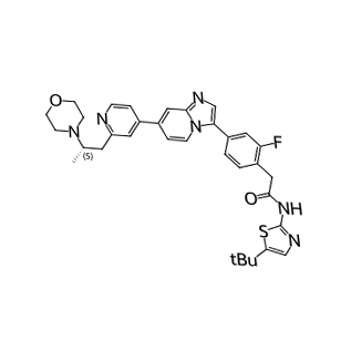 C[C@@H](Cc1cc(-c2ccn3c(-c4ccc(CC(=O)Nc5ncc(C(C)(C)C)s5)c(F)c4)cnc3c2)ccn1)N1CCOCC1